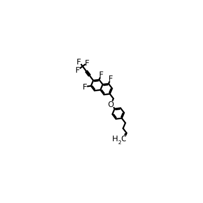 C=CCCc1ccc(OCc2cc(F)c3c(F)c(C#CC(F)(F)F)c(F)cc3c2)cc1